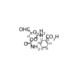 NC(=O)OCC(C=O)OC(N)=O.O=C(O)c1ccccc1